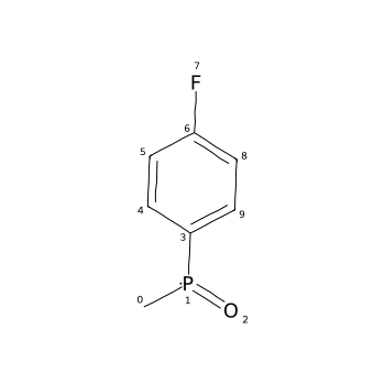 C[P](=O)c1ccc(F)cc1